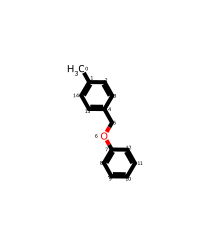 Cc1ccc(COc2c[c]ccc2)cc1